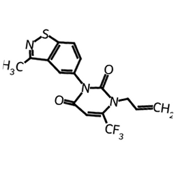 C=CCn1c(C(F)(F)F)cc(=O)n(-c2ccc3snc(C)c3c2)c1=O